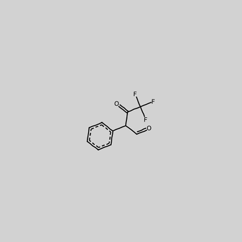 O=CC(C(=O)C(F)(F)F)c1ccccc1